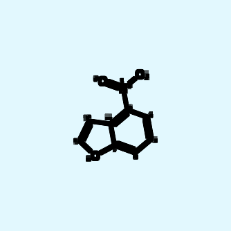 O=[N+]([O-])c1cccc2occc12